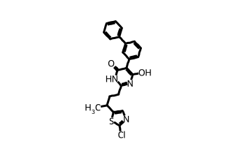 CC(CCc1nc(O)c(-c2cccc(-c3ccccc3)c2)c(=O)[nH]1)c1cnc(Cl)s1